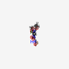 COC(=S)NC[C@H]1CN(c2ccc(N(CCO[Si](C)(C)C(C)(C)C)C(=O)OC(C)(C)C)c(F)c2)C(=O)O1